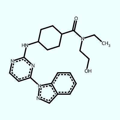 CCN(CCO)C(=O)C1CCC(Nc2nccc(-n3ncc4ccccc43)n2)CC1